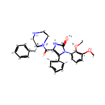 COc1cccc(-n2c(-c3ccccc3)c(C(=O)N3CCNC[C@H]3Cc3ccccc3)[nH]c2=O)c1OC